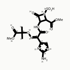 COC(=O)C1C(NC(=O)C(=NOC(C)(C)C(=O)OC)c2csc(N)n2)C(=O)N1S(=O)(=O)O